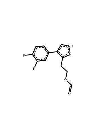 O=COCCc1n[nH]cc1-c1ccc(F)c(F)c1